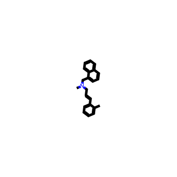 Cc1ccccc1C=CCN(C)Cc1cccc2ccccc12